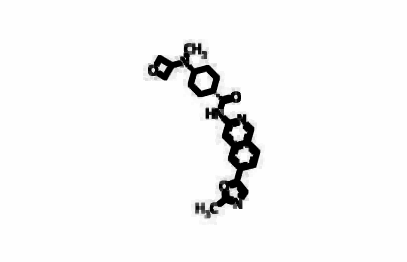 Cc1ncc(-c2ccc3cnc(NC(=O)[C@H]4CC[C@H](N(C)C5COC5)CC4)cc3c2)o1